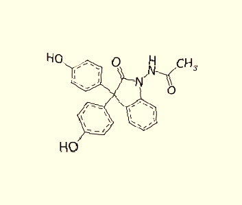 CC(=O)NN1C(=O)C(c2ccc(O)cc2)(c2ccc(O)cc2)c2ccccc21